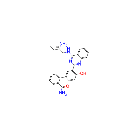 CC[C@H](N)CNc1nc(-c2cc(-c3ccccc3C(N)=O)ccc2O)nc2ccccc12